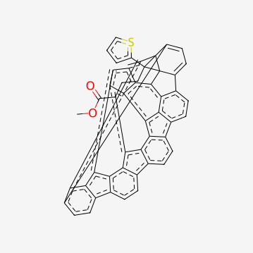 COC(=O)CCCC1(c2cccs2)C23C4=CC=C5c6ccc7c8ccc9c%10ccc%11c%12ccc4c4c2c2c%13c(c6c7c6c8c9c7c%10c%11c(c4%12)c2c7c%136)C513